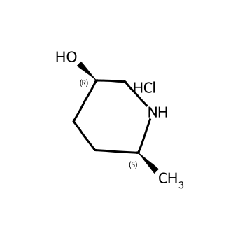 C[C@H]1CC[C@@H](O)CN1.Cl